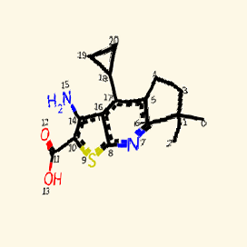 CC1(C)CCc2c1nc1sc(C(=O)O)c(N)c1c2C1CC1